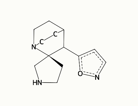 c1cc(C2C3CCN(CC3)[C@]23CCNC3)on1